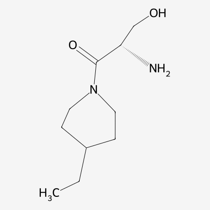 CCC1CCN(C(=O)[C@@H](N)CO)CC1